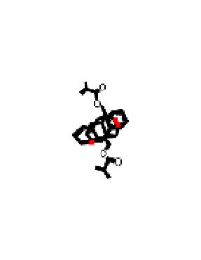 C=C(C)C(=O)OCC12c3ccccc3C(C3C=CC=CC31)C1(COC(=O)C(=C)C)c3ccccc3C2C2C=CC=CC21